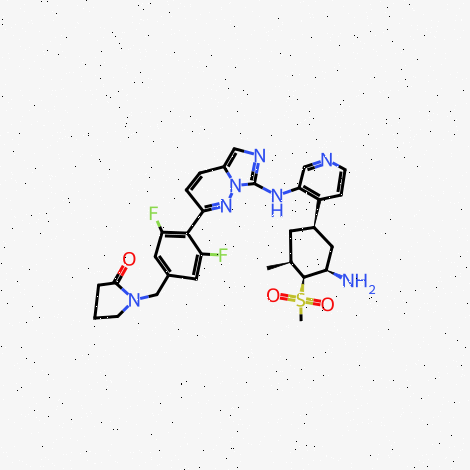 C[C@H]1C[C@@H](c2ccncc2Nc2ncc3ccc(-c4c(F)cc(CN5CCCC5=O)cc4F)nn23)C[C@@H](N)[C@H]1S(C)(=O)=O